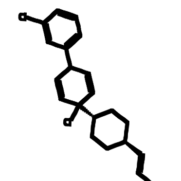 C/C=C/[C@H]1CC[C@H](C2(Cl)C=CC(c3cccc(Cl)c3)C=C2)CC1